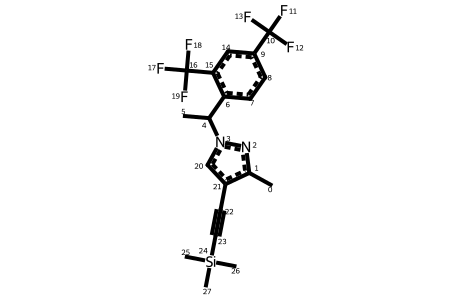 Cc1nn(C(C)c2ccc(C(F)(F)F)cc2C(F)(F)F)cc1C#C[Si](C)(C)C